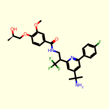 COc1cc(C(=O)NCC(c2cc(C(C)(C)N)cc(-c3ccc(F)cc3)n2)C(F)(F)F)ccc1OC[C@@H](C)O